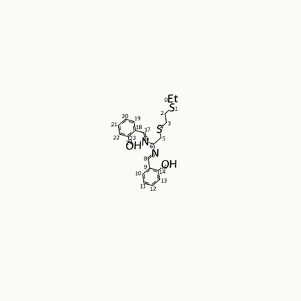 CCSCCSCC(/N=C/c1ccccc1O)/N=C/c1ccccc1O